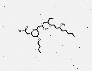 CCCCC[C@@H](O)CCOC(CC)C[C@H](CC1C[C@H](OCCCC)CC(CC(=O)O)O1)OC